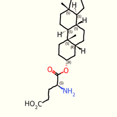 C[C@@]12CCC[C@H]1[C@@H]1CC[C@@H]3C[C@H](OC(=O)[C@@H](N)CCC(=O)O)CC[C@]3(C)[C@H]1CC2